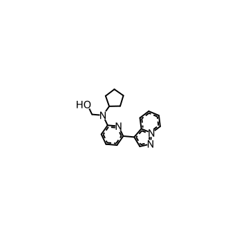 OCN(c1cccc(-c2cnn3ccccc23)n1)C1CCCC1